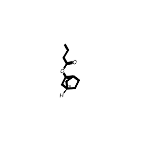 CCCC(=O)OC1=C2CC[C@@H](C2)C1